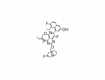 CCc1c(F)ccc2cc(O)cc(-c3nc4c5c(nc(OC[C@@]67CCCN6C[C@H](F)C7)nc5c3F)N(C)[C@@H](CC)CO4)c12